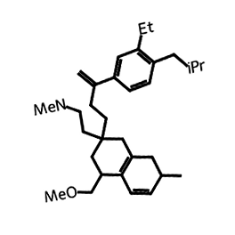 C=C(CCC1(CCNC)CC2=C(C=CC(C)C2)C(COC)C1)c1ccc(CC(C)C)c(CC)c1